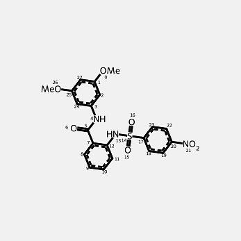 COc1cc(NC(=O)c2ccccc2NS(=O)(=O)c2ccc([N+](=O)[O-])cc2)cc(OC)c1